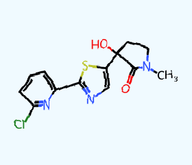 CN1CCC(O)(c2cnc(-c3cccc(Cl)n3)s2)C1=O